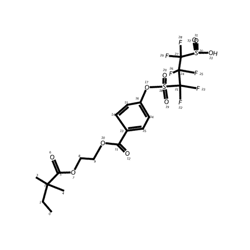 CCC(C)(C)C(=O)OCCOC(=O)c1ccc(OS(=O)(=O)C(F)(F)C(F)(F)C(F)(F)S(=O)(=O)O)cc1